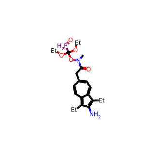 CCOC(OCC)(ON(C)C(=O)Cc1ccc2c(CC)c(N)c(CC)c-2cc1)[PH2]=O